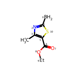 Bc1nc(C)c(C(=O)OCC)s1